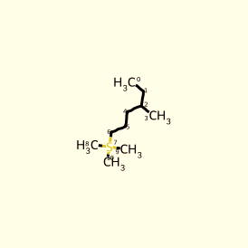 CCC(C)CCCS(C)(C)C